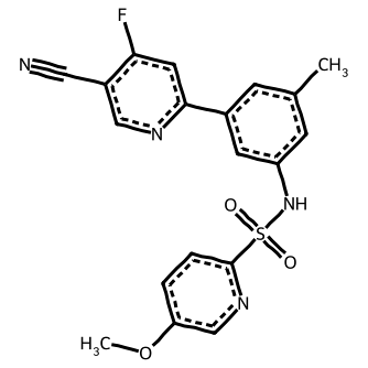 COc1ccc(S(=O)(=O)Nc2cc(C)cc(-c3cc(F)c(C#N)cn3)c2)nc1